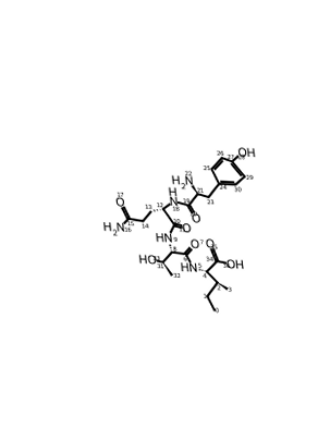 CC[C@H](C)[C@H](NC(=O)[C@@H](NC(=O)[C@H](CCC(N)=O)NC(=O)[C@@H](N)Cc1ccc(O)cc1)[C@@H](C)O)C(=O)O